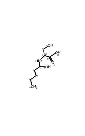 CCCCC(O)N[C@H](CO)C(=O)O